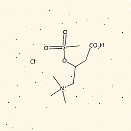 C[N+](C)(C)CC(CC(=O)O)OS(C)(=O)=O.[Cl-]